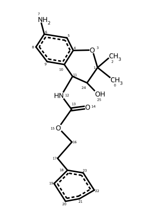 CC1(C)Oc2cc(N)ccc2C(NC(=O)OCCc2ccccc2)C1O